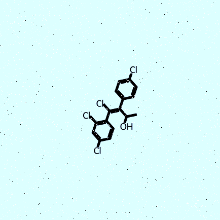 CC(O)C(=C(Cl)c1ccc(Cl)cc1Cl)c1ccc(Cl)cc1